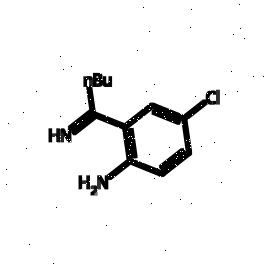 CCCCC(=N)c1cc(Cl)ccc1N